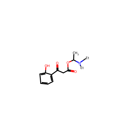 CCN(CC)C(C)OC(=O)CC(=O)c1ccccc1O